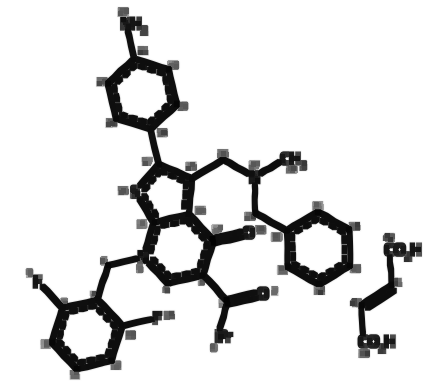 CC(C)C(=O)c1cn(Cc2c(F)cccc2F)c2sc(-c3ccc(N)cc3)c(CN(C)Cc3ccccc3)c2c1=O.O=C(O)C=CC(=O)O